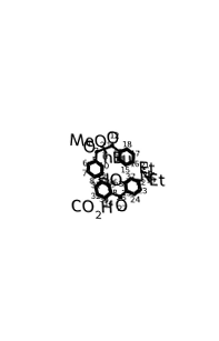 CCCCC(OC)(C(=O)c1ccccc1)C(=O)c1ccccc1.CCN(CC)c1ccc(C(=O)c2ccccc2C(=O)O)c(O)c1